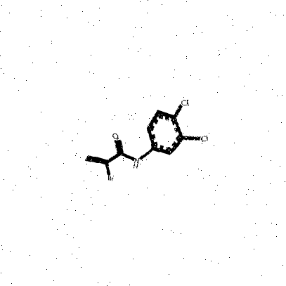 C=C(Br)C(=O)Nc1ccc(Cl)c(Cl)c1